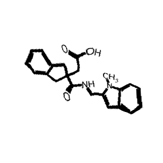 Cn1c(CNC(=O)C2(CC(=O)O)Cc3ccccc3C2)cc2ccccc21